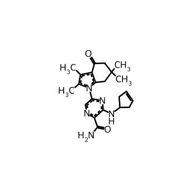 Cc1c2c(n(-c3cnc(C(N)=O)c(NC4CC=CC4)n3)c1C)CC(C)(C)CC2=O